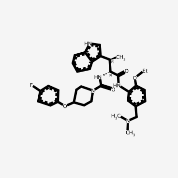 CCOc1ccc(CN(C)C)cc1NC(=O)[C@H](NC(=O)N1CCC(Oc2ccc(F)cc2)CC1)[C@H](C)c1c[nH]c2ccccc12